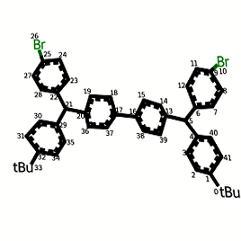 CC(C)(C)c1ccc(C(c2ccc(Br)cc2)c2ccc(-c3ccc(C(c4ccc(Br)cc4)c4ccc(C(C)(C)C)cc4)cc3)cc2)cc1